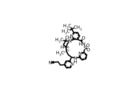 C[C@H]1CC(c2cc(CCC#N)ccn2)Nc2cccc(n2)S(=O)(=O)NC(=O)c2ccc(C(C)(C)C)nc2N2C[C@@H]1CC2(C)C